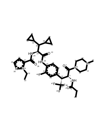 CCC(=O)N[C@@H](C(=O)N1CCN(C)CC1)[C@@H](c1ccc(NC(=O)[C@@H](NC(=O)c2ccnn2CC)C(C2CC2)C2CC2)c(F)c1)C(F)(F)F